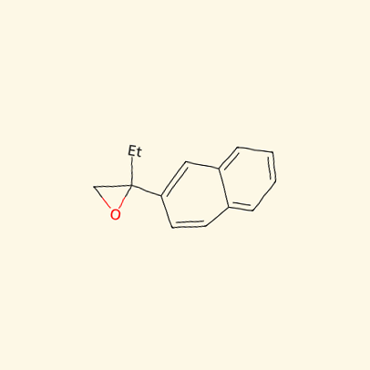 CCC1(c2ccc3ccccc3c2)CO1